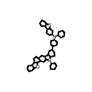 c1ccc(N(c2ccc(-c3ccc4c(c3)c3cc5ccc6c7ccccc7oc6c5cc3n4-c3ccccc3)cc2)c2ccc3c(c2)sc2ccccc23)cc1